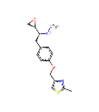 Cc1nc(COc2ccc(C[C@H](NC(=O)O)[C@H]3CO3)cc2)cs1